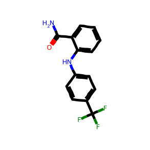 NC(=O)c1ccccc1Nc1ccc(C(F)(F)F)cc1